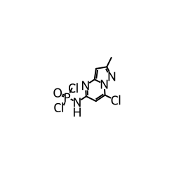 Cc1cc2nc(NP(=O)(Cl)Cl)cc(Cl)n2n1